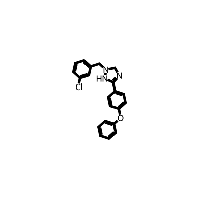 Clc1cccc(CN2CN=C(c3ccc(Oc4ccccc4)cc3)N2)c1